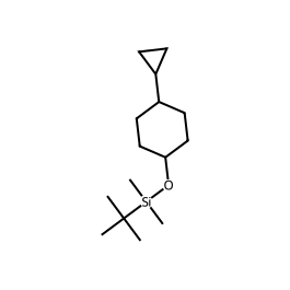 CC(C)(C)[Si](C)(C)OC1CCC(C2CC2)CC1